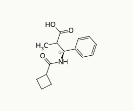 CC(C(=O)O)[C@H](NC(=O)C1CCC1)c1ccccc1